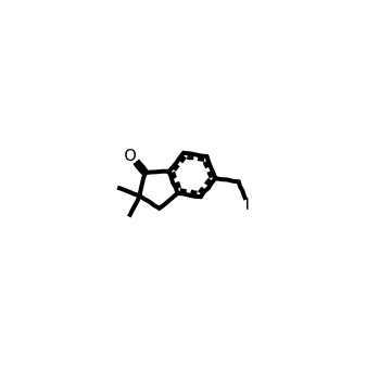 CC1(C)Cc2cc(CI)ccc2C1=O